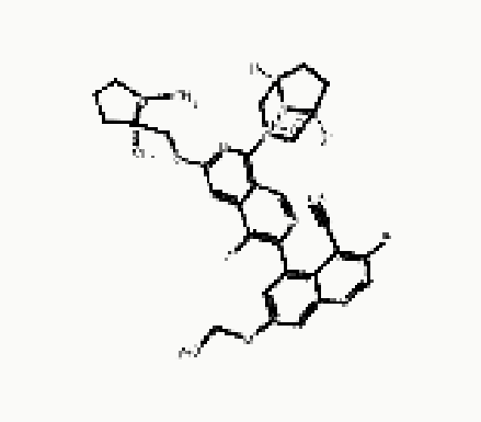 C#Cc1c(F)ccc2cc(OCOC)cc(-c3ncc4c(N5C[C@H]6CC[C@@H](C5)N6C(=O)O)nc(OC[C@]5(C)CCCN5C)nc4c3F)c12